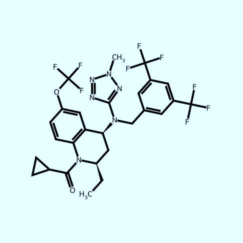 CC[C@@H]1C[C@H](N(Cc2cc(C(F)(F)F)cc(C(F)(F)F)c2)c2nnn(C)n2)c2cc(OC(F)(F)F)ccc2N1C(=O)C1CC1